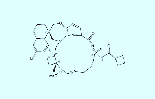 CO[C@H]1/C=C/CCC[S@@](=O)(NC(=O)C2CCC2)=NC(=O)c2ccc3c(c2)N(C[C@@H]2CC[C@H]21)C[C@@]1(CCCc2cc(Cl)ccc21)CO3